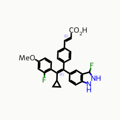 COc1ccc(/C(=C(\c2ccc(/C=C/C(=O)O)cc2)c2ccc3c(c2)C(F)NN3)C2CC2)c(F)c1